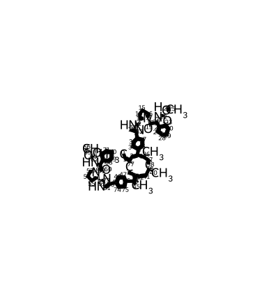 C/C=C1\C=C(\c2ccc(-c3c[nH]c([C@@H]4CCCN4C(=O)[C@@H](NC(=O)OC)c4ccccc4)n3)cc2)[C@H](C)CC[C@@H](C)/C=C\C(=C(/C)c2ccc(-c3c[nH]c([C@@H]4CCCN4C(=O)[C@@H](NC(=O)OC)c4ccccc4)n3)cc2)CC1